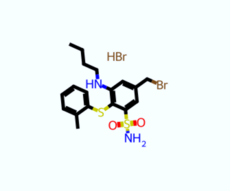 Br.CCCCNc1cc(CBr)cc(S(N)(=O)=O)c1Sc1ccccc1C